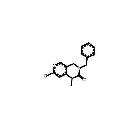 CC1C(=O)N(Cc2ccccc2)Cc2cnc(Cl)cc21